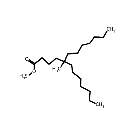 CCCCCCCC(C)(CCCCCCC)CCCC(=O)O[SiH3]